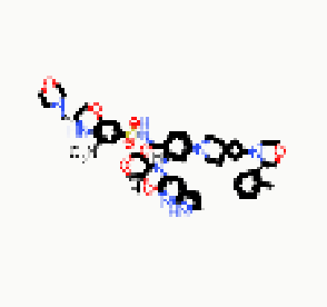 Cc1ccccc1[C@@H]1COCCN1C1CC2(CCN(c3ccc(C(=O)NS(=O)(=O)c4cc5c(c([N+](=O)[O-])c4)N[C@H](CN4CCOCC4)CO5)c(N4c5cc6cc[nH]c6nc5O[C@H]5COCC[C@@H]54)c3)CC2)C1